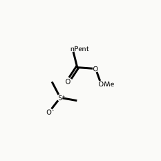 CCCCCC(=O)OOC.C[S+](C)[O-]